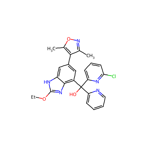 CCOc1nc2c(C(O)(c3ccccn3)c3cccc(Cl)n3)cc(-c3c(C)noc3C)cc2[nH]1